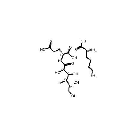 NCCCC[C@H](N)C(=O)O.O=C(O)CC[C@H](NC(=O)[C@H](O)[C@@H](O)[C@H](O)[C@H](O)CO)C(=O)O